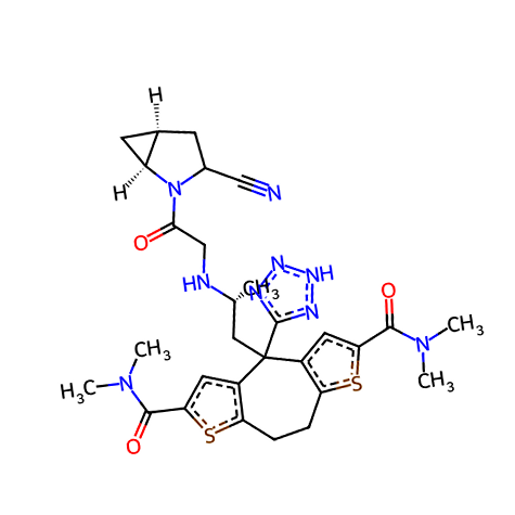 C[C@H](CC1(c2nn[nH]n2)c2cc(C(=O)N(C)C)sc2CCc2sc(C(=O)N(C)C)cc21)NCC(=O)N1C(C#N)C[C@@H]2C[C@@H]21